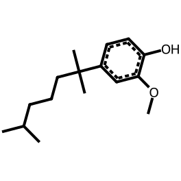 COc1cc(C(C)(C)CCCC(C)C)ccc1O